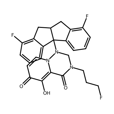 O=C1c2c(O)c(=O)ccn2N(C23c4cccc(F)c4CC2Cc2c(F)cccc23)CN1CCCF